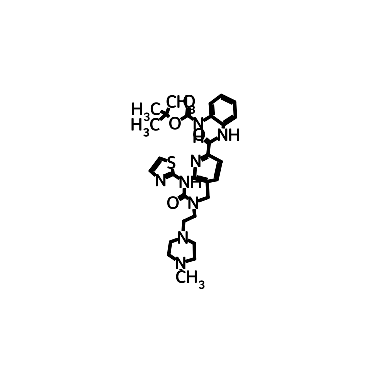 CN1CCN(CCN(Cc2ccc(C(=O)Nc3ccccc3NC(=O)OC(C)(C)C)nc2)C(=O)Nc2nccs2)CC1